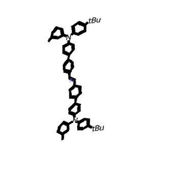 Cc1cccc(N(c2ccc(-c3ccc(/C=C/c4ccc(-c5ccc(N(c6ccc(C(C)(C)C)cc6)c6cccc(C)c6)cc5)cc4)cc3)cc2)c2ccc(C(C)(C)C)cc2)c1